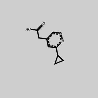 O=C(O)Cc1cnnc(C2CC2)c1